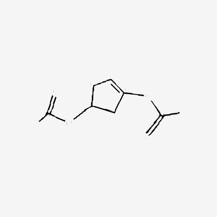 CC(=O)OC1=CCC(OC(C)=O)C1